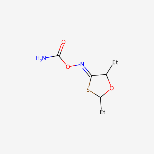 CCC1OC(CC)C(=NOC(N)=O)S1